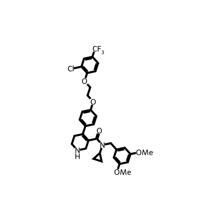 COc1cc(CN(C(=O)C2=C(c3ccc(OCCOc4ccc(C(F)(F)F)cc4Cl)cc3)CCNC2)C2CC2)cc(OC)c1